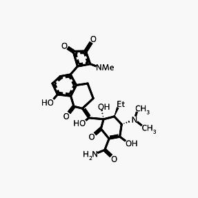 CC[C@H]1[C@H](N(C)C)C(O)=C(C(N)=O)C(=O)[C@@]1(O)/C(O)=C1\CCc2c(-c3c(NC)c(=O)c3=O)ccc(O)c2C1=O